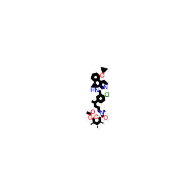 CC(=O)OC1O[C@H](C(=O)N(C)CCCC(C)c2ccc(Cl)c(CNC3(c4cnccc4-c4ccccc4OC4CC4)CC3)c2)[C@@H](C)[C@H](C)[C@H]1C